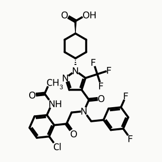 CC(=O)Nc1cccc(Cl)c1C(=O)CN(Cc1cc(F)cc(F)c1)C(=O)c1cnn([C@H]2CC[C@H](C(=O)O)CC2)c1C(F)(F)F